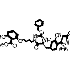 COC(=O)c1c(O)cccc1OCCCCNC(=O)[C@H](Cc1ccc(C2CC(=O)NS2(=O)=O)c(C#N)c1)NC(=O)OCc1ccccc1